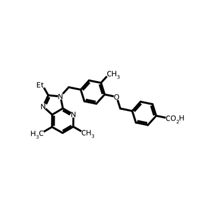 CCc1nc2c(C)cc(C)nc2n1Cc1ccc(OCc2ccc(C(=O)O)cc2)c(C)c1